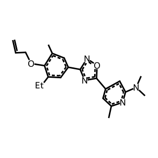 C=CCOc1c(C)cc(-c2noc(-c3cc(C)nc(N(C)C)c3)n2)cc1CC